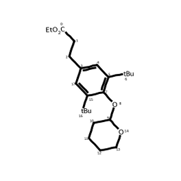 CCOC(=O)CCc1cc(C(C)(C)C)c(OC2CCCCO2)c(C(C)(C)C)c1